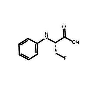 O=C(O)[C@H](CF)Nc1ccccc1